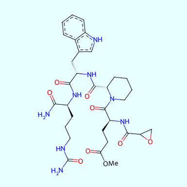 COC(=O)CC[C@H](NC(=O)C1CO1)C(=O)N1CCCC[C@H]1C(=O)N[C@@H](Cc1c[nH]c2ccccc12)C(=O)N[C@@H](CCCNC(N)=O)C(N)=O